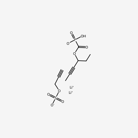 C#CCOS(=O)(=O)[O-].CC#CC(CC)OC(=O)P(=O)([O-])O.[Li+].[Li+]